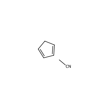 C1=CCC=C1.CC#N